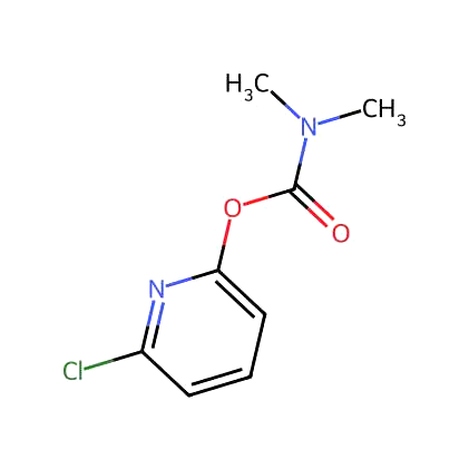 CN(C)C(=O)Oc1cccc(Cl)n1